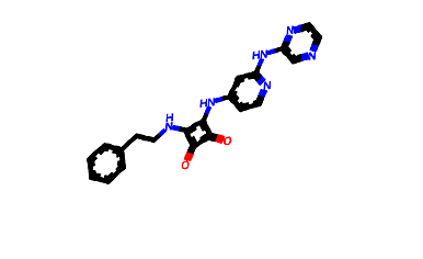 O=c1c(NCCc2ccccc2)c(Nc2ccnc(Nc3cnccn3)c2)c1=O